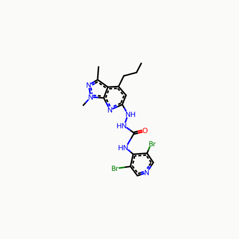 CCCc1cc(NNC(=O)Nc2c(Br)cncc2Br)nc2c1c(C)nn2C